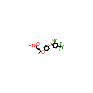 CC(C=CC(=O)O)Oc1ccc(Oc2ccc(C(F)(F)F)cc2Br)cc1